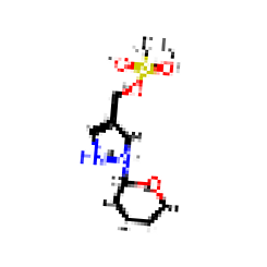 CS(=O)(=O)OCC1=CNN(C2CCCCO2)C1